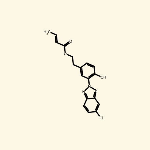 CC=CC(=O)OCCc1ccc(O)c(-n2nc3ccc(Cl)cc3n2)c1